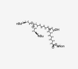 CCCCC#CCCOC(CCCCCCCN(CCO)CCCCCCCC(=O)OCCCCCCCCC)OCCC#CCCCC